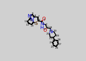 O=C(CNC(=O)C1=Cc2cnc3cccc(n23)S1)CN1CCC(c2ccccc2)CC1